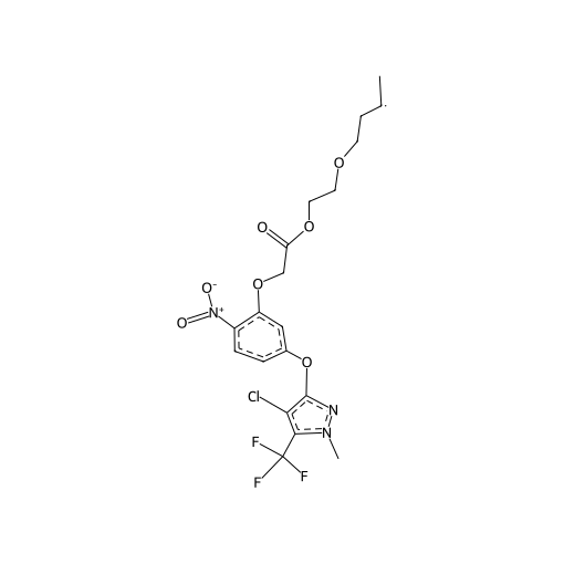 C[CH]CCOCCOC(=O)COc1cc(Oc2nn(C)c(C(F)(F)F)c2Cl)ccc1[N+](=O)[O-]